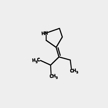 CC/C(=C1\CCNC1)C(C)C